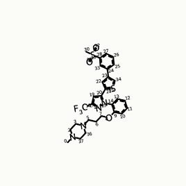 CN1CCN(CCCOc2ccccc2-n2nc(C(F)(F)F)cc2-c2cc(-c3cccc(S(C)(=O)=O)c3)cs2)CC1